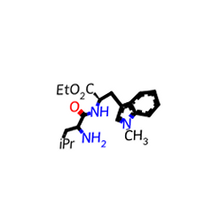 CCOC(=O)[C@@H](Cc1cn(C)c2ccccc12)NC(=O)C(N)CC(C)C